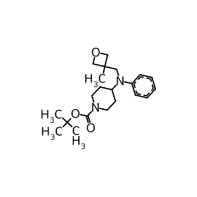 CC1(CN(c2ccccc2)C2CCN(C(=O)OC(C)(C)C)CC2)COC1